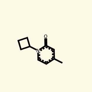 Cc1ccn(C2CCC2)c(=O)c1